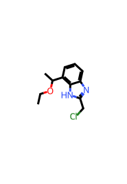 CCOC(C)c1cccc2nc(CCl)[nH]c12